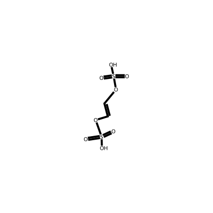 O=S(=O)(O)OC=COS(=O)(=O)O